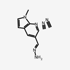 C#N.C#N.Cn1ccc2cc(C=NN)cnc21